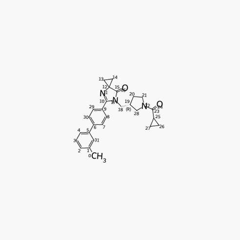 Cc1cccc(-c2ccc(C3=NC4(CC4)C(=O)N3C[C@@H]3CCN(C(=O)C4CC4)C3)cc2)c1